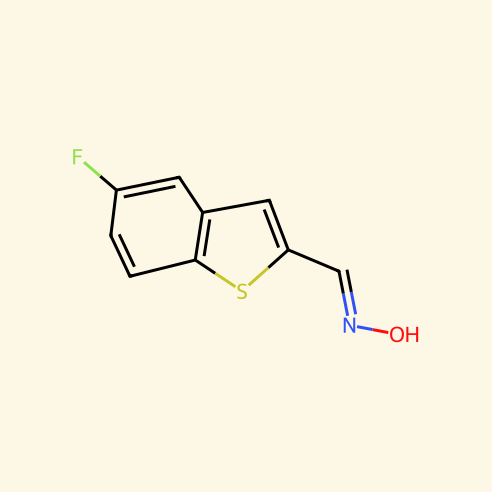 O/N=C/c1cc2cc(F)ccc2s1